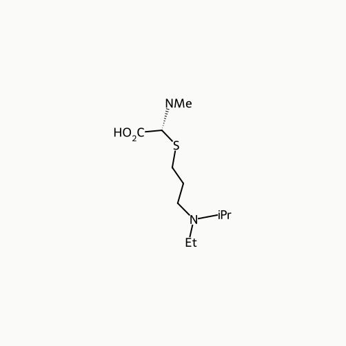 CCN(CCCS[C@@H](NC)C(=O)O)C(C)C